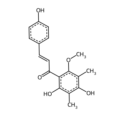 COc1c(C)c(O)c(C)c(O)c1C(=O)C=Cc1ccc(O)cc1